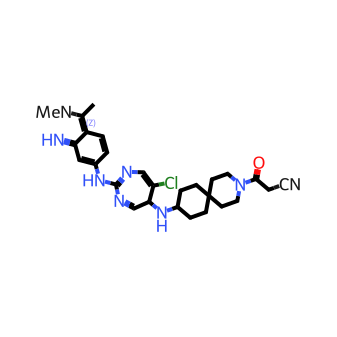 CN/C(C)=C1/C=CC(NC2=NC=C(Cl)C(NC3CCC4(CC3)CCN(C(=O)CC#N)CC4)C=N2)=CC1=N